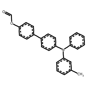 Cc1cccc(N(c2ccccc2)c2ccc(-c3ccc(OC=O)cc3)cc2)c1